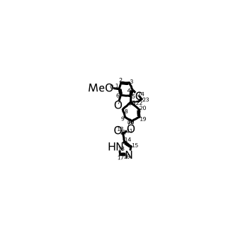 COc1ccc2c3c1OC1C[C@@H](OC(=O)c4cnc[nH]4)C=C[C@@]31CCC2